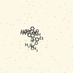 CCc1cc(OCCN(C)C)c(F)c(C(Nc2ccc(C(=N)N)cc2)c2nn(-c3ccccc3C(=O)O)c(=O)[nH]2)c1